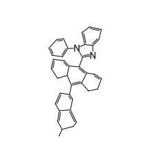 CC1C=c2ccc(C3=C4CCC=CC4=C(c4nc5ccccc5n4-c4ccccc4)C4=CC=CCC43)cc2=CC1